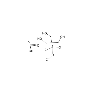 CC(=O)O.OCC(CO)(CO)C(Cl)(Cl)OCl